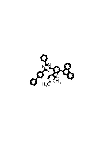 C=N/C=C\c1c(C)oc2c(-c3cc4ccccc4c4ccccc34)ccc(-c3nc(-c4ccccc4)nc(-c4ccc(-c5ccccc5)cc4)n3)c12